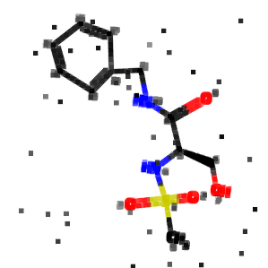 CS(=O)(=O)N[C@H](CO)C(=O)NCc1ccccc1